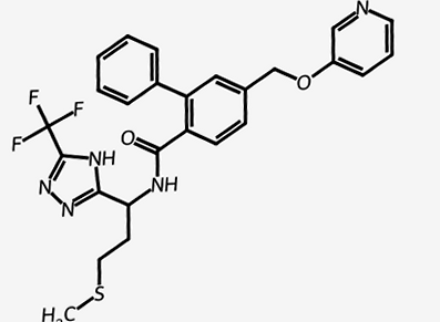 CSCCC(NC(=O)c1ccc(COc2cccnc2)cc1-c1ccccc1)c1nnc(C(F)(F)F)[nH]1